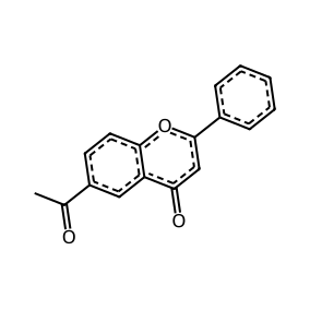 CC(=O)c1ccc2oc(-c3ccccc3)cc(=O)c2c1